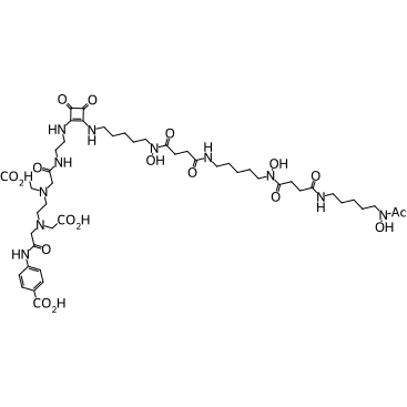 CC(=O)N(O)CCCCCNC(=O)CCC(=O)N(O)CCCCCNC(=O)CCC(=O)N(O)CCCCCNc1c(NCCNC(=O)CN(CCN(CC(=O)O)CC(=O)Nc2ccc(C(=O)O)cc2)CC(=O)O)c(=O)c1=O